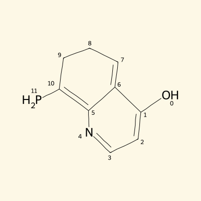 Oc1ccnc2c1=CCCC=2P